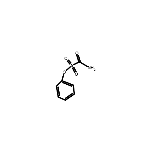 NC(=O)S(=O)(=O)Oc1ccccc1